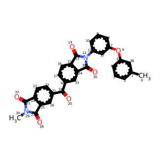 Cc1cccc(Oc2cccc(N3C(=O)c4ccc(C(=O)c5ccc6c(c5)C(=O)N(C)C6=O)cc4C3=O)c2)c1